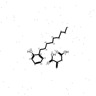 C=C(CC(=O)O)C(=O)O.CCCCCCCCCc1ccccc1O